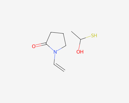 C=CN1CCCC1=O.CC(O)S